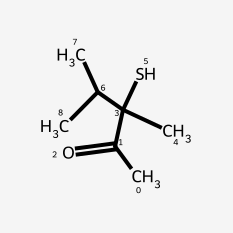 CC(=O)C(C)(S)C(C)C